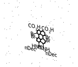 CCCCCCCCCCCNC(=O)c1cc(Br)c2c3c(Br)cc(C(=O)O)c4c(C(=O)O)cc(Br)c(c5c(Br)cc(C(=O)NCCCCCCCCCCC)c1c25)c43